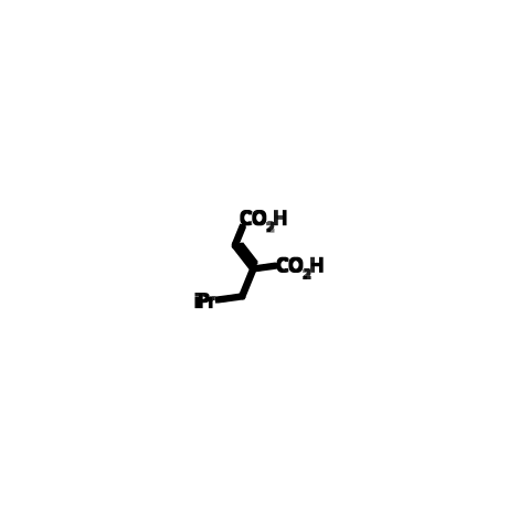 CC(C)C/C(=C/C(=O)O)C(=O)O